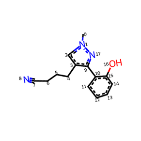 Cn1cc(CCCC#N)c(-c2ccccc2O)n1